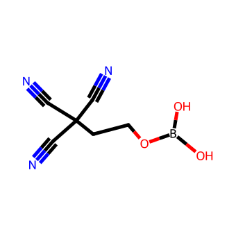 N#CC(C#N)(C#N)CCOB(O)O